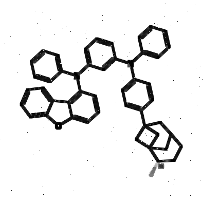 C[C@H]1CCC2CC3(c4ccc(N(c5ccccc5)c5cccc(N(c6ccccc6)c6cccc7oc8ccccc8c67)c5)cc4)CC1(C2)C3